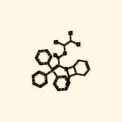 O=C(OC(Cl)C(Cl)Cl)C(N1C(=O)C2CC=CCC21)=P(c1ccccc1)(c1ccccc1)c1ccccc1